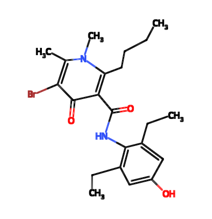 CCCCc1c(C(=O)Nc2c(CC)cc(O)cc2CC)c(=O)c(Br)c(C)n1C